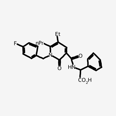 CCCc1c(CC)cc(C(=O)NC(C(=O)O)c2ccccc2)c(=O)n1Cc1ccc(F)cc1